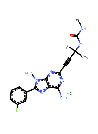 CCNC(=O)NC(C)(C)C#Cc1nc(N)c2nc(-c3cccc(F)c3)n(C)c2n1.Cl